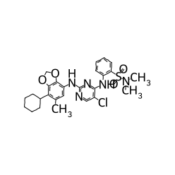 Cc1cc(Nc2ncc(Cl)c(Nc3ccccc3S(=O)(=O)N(C)C)n2)c2c(c1C1CCCCC1)OCO2